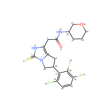 O=C(Cc1[nH]c(=S)n2c1CC(c1c(F)ccc(F)c1F)C2)NC1CCCOC1